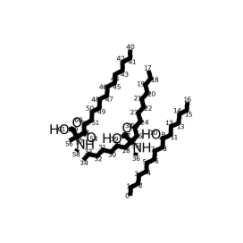 CCCCCCCCCC(O)CCCCCC.CCCCCCCCCCC(CCCCCCC)(NC)C(=O)O.CCCCCCCCCCCCCC(=O)C(C)(NC)C(=O)O